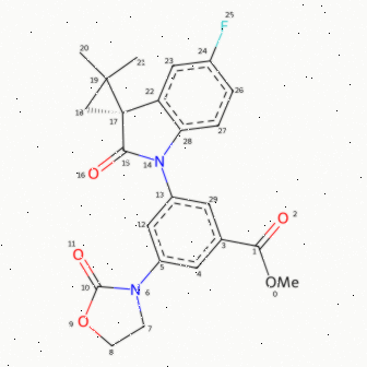 COC(=O)c1cc(N2CCOC2=O)cc(N2C(=O)[C@]3(CC3(C)C)c3cc(F)ccc32)c1